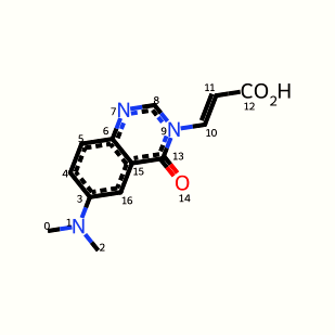 CN(C)c1ccc2ncn(/C=C/C(=O)O)c(=O)c2c1